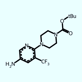 CC(C)(C)OC(=O)N1CCN(c2ncc(N)cc2C(F)(F)F)CC1